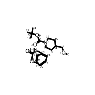 COCC1CCN(C(=O)OC(C)(C)C)CC1.O=C1Nc2ccc(cc2)CO1